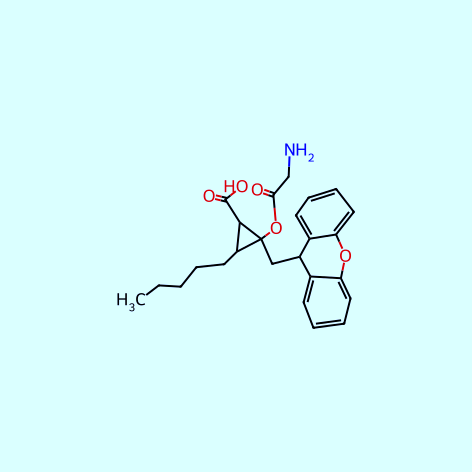 CCCCCC1C(C(=O)O)C1(CC1c2ccccc2Oc2ccccc21)OC(=O)CN